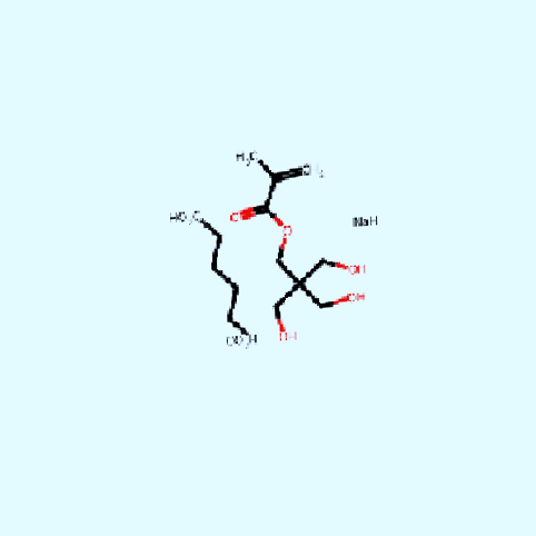 C=C(C)C(=O)OCC(CO)(CO)CO.O=C(O)CCCCC(=O)O.[NaH]